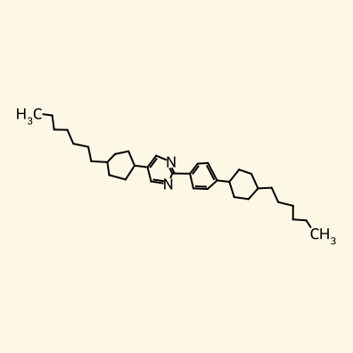 CCCCCCCC1CCC(c2cnc(-c3ccc(C4CCC(CCCCCC)CC4)cc3)nc2)CC1